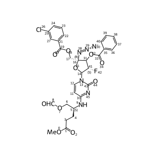 COC(=O)CC[C@@H](COC=O)Nc1ccn(C2O[C@@](COC(=O)c3cccc(Cl)c3)(N=[N+]=[N-])C(OC(=O)c3ccccc3)[C@@H]2F)c(=O)n1